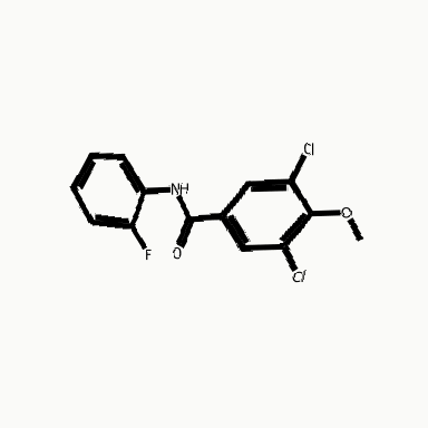 COc1c(Cl)cc(C(=O)Nc2ccccc2F)cc1Cl